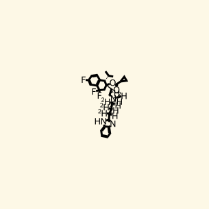 [2H]C([2H])([2H])N(CC[C@@]1(OC(=O)C2CC2)CC(F)(F)c2cc(F)ccc2[C@@H]1C(C)C)C([2H])([2H])C([2H])([2H])C([2H])([2H])c1nc2ccccc2[nH]1